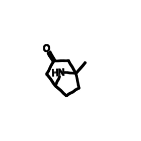 CC12CCC(CC(=O)C1)N2